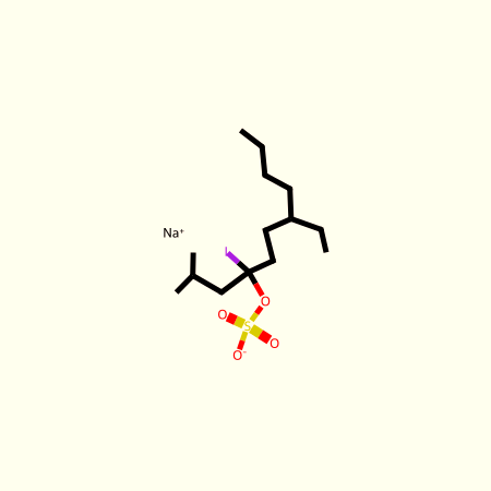 CCCCC(CC)CCC(I)(CC(C)C)OS(=O)(=O)[O-].[Na+]